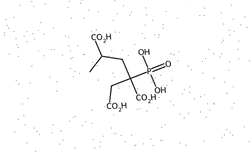 CC(CC(CC(=O)O)(C(=O)O)P(=O)(O)O)C(=O)O